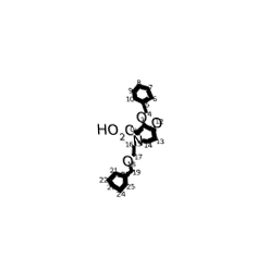 O=C(O)c1c(OCc2ccccc2)c(=O)ccn1CCOCc1ccccc1